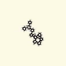 c1ccc(-c2nc(-c3ccccc3)nc(-c3cccc(-c4cccc5c4oc4c5cc5c6ccccc6c6ccccc6c6cccc7c8cccc9c4c5n(c67)c89)c3)n2)cc1